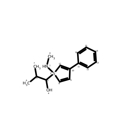 CNS1(C(O)C(C)C)C=CC(c2ccccc2)=C1